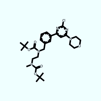 CN(CCN(Cc1cccc(-c2cc(N3CCOCC3)nc(Cl)n2)c1)C(=O)OC(C)(C)C)C(=O)OC(C)(C)C